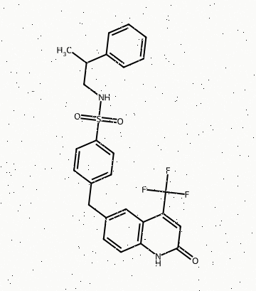 CC(CNS(=O)(=O)c1ccc(Cc2ccc3[nH]c(=O)cc(C(F)(F)F)c3c2)cc1)c1ccccc1